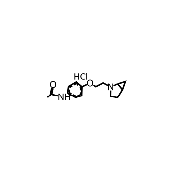 CC(=O)Nc1ccc(OCCN2CCC3CC32)cc1.Cl